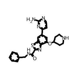 Nc1nccc(-c2cc(OC3CCNCC3)c3nc(C(=O)NCc4ccccc4)sc3c2)n1